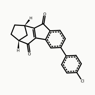 O=C1C2=C(C(=O)[C@@H]3CC[C@H]2C3)c2cc(-c3ccc(Cl)cc3)ccc21